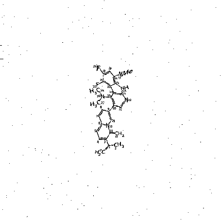 C=C(C)C1=CC=C2C=CC(c3cnc4[nH]c5c(NC)cc(F)c(F)c5c4c3N(C)C)=CN2C1=C